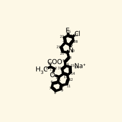 C[C@H](COC1c2ccccc2C=Cc2ccc(C=Cc3ccc4cc(F)c(Cl)cc4n3)cc21)C(=O)[O-].[Na+]